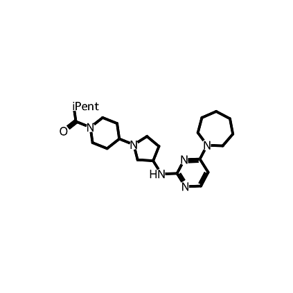 CCCC(C)C(=O)N1CCC(N2CCC(Nc3nccc(N4CCCCCC4)n3)C2)CC1